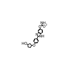 NC(=O)Oc1ccc2[nH]c(-c3ccc(OC4CCC(O)C4)cc3)nc2c1